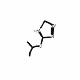 CC(C)OC1N=NCN1